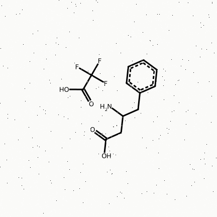 NC(CC(=O)O)Cc1ccccc1.O=C(O)C(F)(F)F